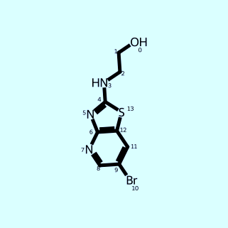 OCCNc1nc2ncc(Br)cc2s1